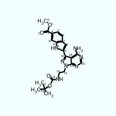 COC(=O)c1ccc2cc(-c3nn(CCNC(=O)OC(C)(C)C)c4ncnc(N)c34)[nH]c2c1